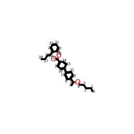 CCCCCOC(C)c1ccc(-c2ccc(C(=O)Oc3ccccc3CCCC)cc2)cc1